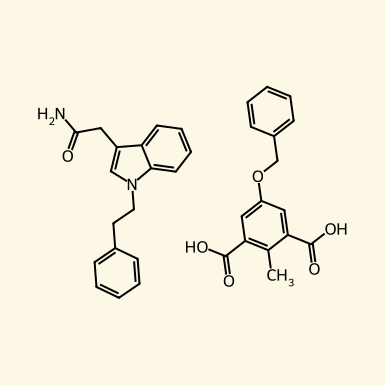 Cc1c(C(=O)O)cc(OCc2ccccc2)cc1C(=O)O.NC(=O)Cc1cn(CCc2ccccc2)c2ccccc12